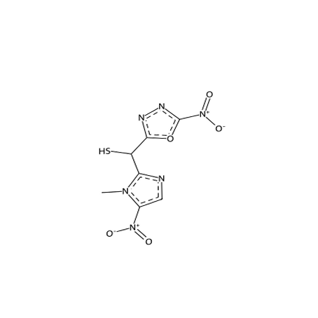 Cn1c([N+](=O)[O-])cnc1C(S)c1nnc([N+](=O)[O-])o1